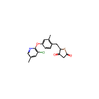 Cc1cnc(Oc2ccc(CC3SC(=O)CC3=O)c(C)c2)c(Cl)c1